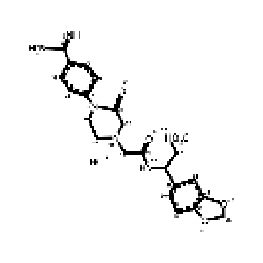 Cl.N=C(N)c1ccc(N2CCN(CC(=O)NC(CC(=O)O)c3ccc4c(c3)OCO4)CC2=O)cc1